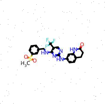 CS(=O)(=O)c1cccc(CNc2nc(Nc3ccc4c(c3)NC(=O)CC4)ncc2C(F)(F)F)c1